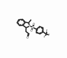 CC1c2ccccc2C(CC=O)N1S(=O)(=O)c1ccc(C(F)(F)F)cc1